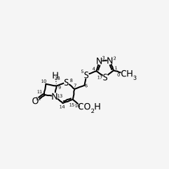 Cc1nnc(SCC2S[C@@H]3CC(=O)N3C=C2C(=O)O)s1